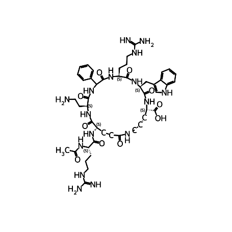 CC(=O)N[C@@H](CCCNC(=N)N)C(=O)N[C@H]1CCC(=O)NCCC[C@@H](C(=O)O)NC(=O)[C@H](Cc2c[nH]c3ccccc23)NC(=O)[C@H](CCCNC(=N)N)NC(=O)C(c2ccccc2)NC(=O)[C@H](CCN)NC1=O